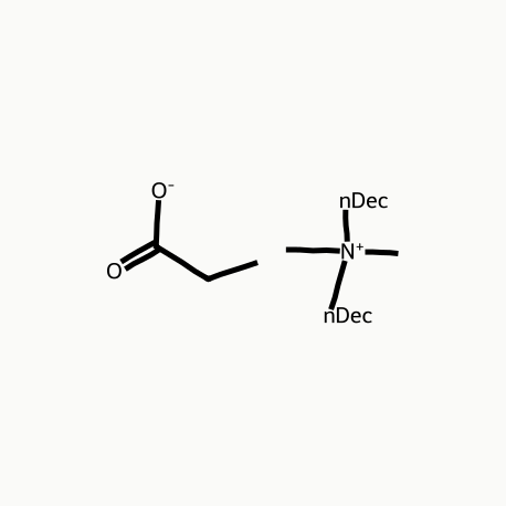 CCC(=O)[O-].CCCCCCCCCC[N+](C)(C)CCCCCCCCCC